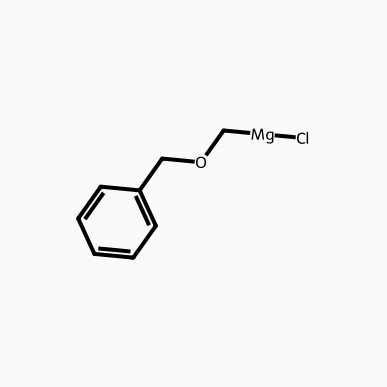 [Cl][Mg][CH2]OCc1ccccc1